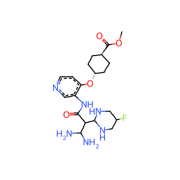 COC(=O)[C@H]1CC[C@H](Oc2ccncc2NC(=O)C(C(N)N)C2NCC(F)CN2)CC1